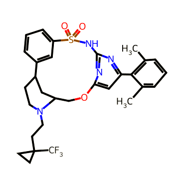 Cc1cccc(C)c1-c1cc2nc(n1)NS(=O)(=O)c1cccc(c1)C1CCN(CCC3(C(F)(F)F)CC3)C(CO2)C1